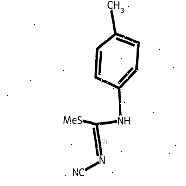 CS/C(=N\C#N)Nc1ccc(C)cc1